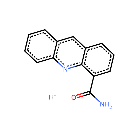 NC(=O)c1cccc2cc3ccccc3nc12.[H+]